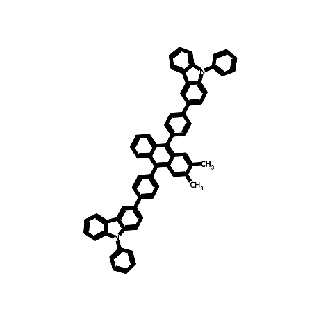 Cc1cc2c(-c3ccc(-c4ccc5c(c4)c4ccccc4n5-c4ccccc4)cc3)c3ccccc3c(-c3ccc(-c4ccc5c(c4)c4ccccc4n5-c4ccccc4)cc3)c2cc1C